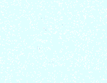 C=C/N=C\N(C)C=C